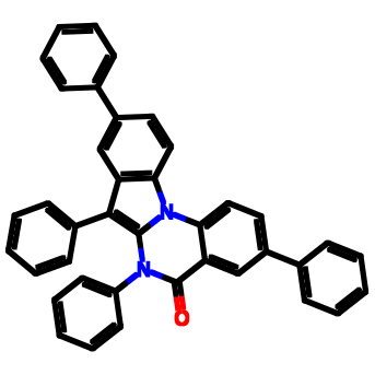 O=c1c2cc(-c3ccccc3)ccc2n2c3ccc(-c4ccccc4)cc3c(-c3ccccc3)c2n1-c1ccccc1